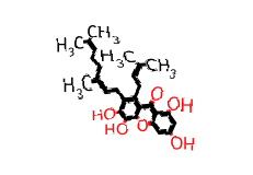 CC(C)=CCCC(C)=CCc1c(O)c(O)c2oc3cc(O)cc(O)c3c(=O)c2c1CC=C(C)C